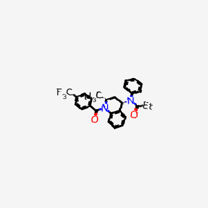 CCC(=O)N(c1ccccc1)[C@H]1C[C@@H](C)N(C(=O)c2ccc(C(F)(F)F)cc2)c2ccccc21